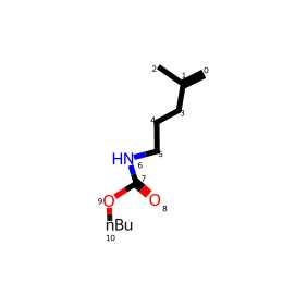 C=C(C)CCCNC(=O)OCCCC